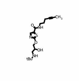 CC#CCCCNC(=O)c1cnc(OCC(O)CNC(C)(C)C)s1